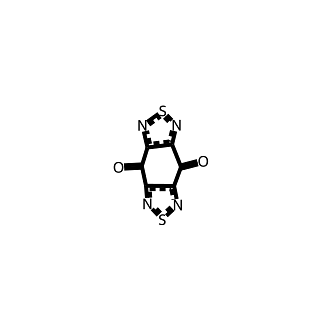 O=C1c2nsnc2C(=O)c2nsnc21